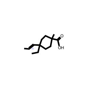 C/C=C/C1(CC)CCC(C)(C(=O)O)CC1